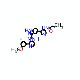 CCCC(=O)Nc1cncc(-c2ccc3[nH]nc(-c4nc5c(-c6cc(F)cc(OC)c6)nccc5[nH]4)c3c2)c1